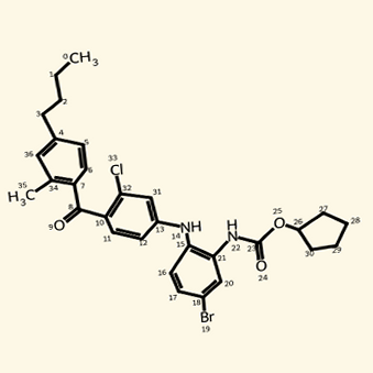 CCCCc1ccc(C(=O)c2ccc(Nc3ccc(Br)cc3NC(=O)OC3CCCC3)cc2Cl)c(C)c1